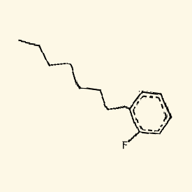 CCCCCCCc1[c]cccc1F